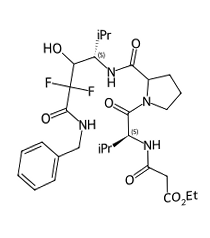 CCOC(=O)CC(=O)N[C@H](C(=O)N1CCCC1C(=O)N[C@@H](C(C)C)C(O)C(F)(F)C(=O)NCc1ccccc1)C(C)C